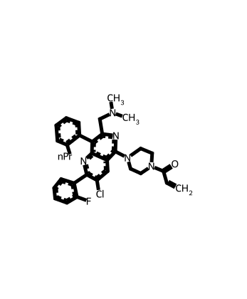 C=CC(=O)N1CCN(c2nc(CN(C)C)c(-c3ccccc3CCC)c3nc(-c4ccccc4F)c(Cl)cc23)CC1